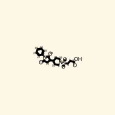 O=C(O)CCS(=O)(=O)N1CCC(C2CC(=O)N(c3ccccc3)C2=O)CC1